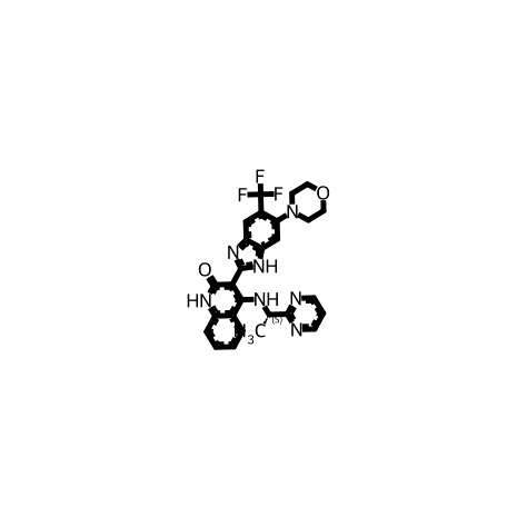 C[C@H](Nc1c(-c2nc3cc(C(F)(F)F)c(N4CCOCC4)cc3[nH]2)c(=O)[nH]c2ccccc12)c1ncccn1